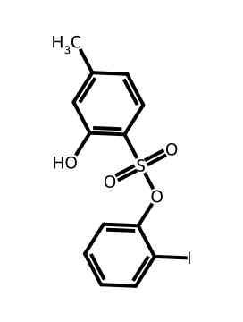 Cc1ccc(S(=O)(=O)Oc2ccccc2I)c(O)c1